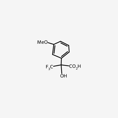 COc1cccc(C(O)(C(=O)O)C(F)(F)F)c1